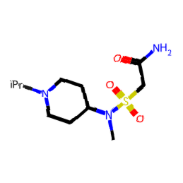 CC(C)N1CCC(N(C)S(=O)(=O)CC(N)=O)CC1